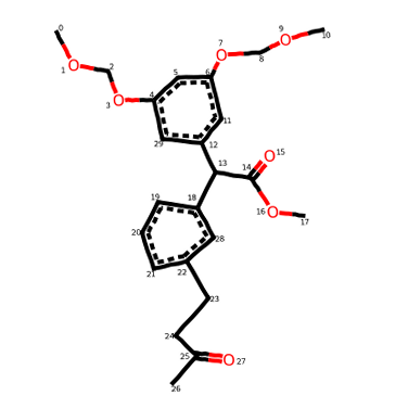 COCOc1cc(OCOC)cc(C(C(=O)OC)c2cccc(CCC(C)=O)c2)c1